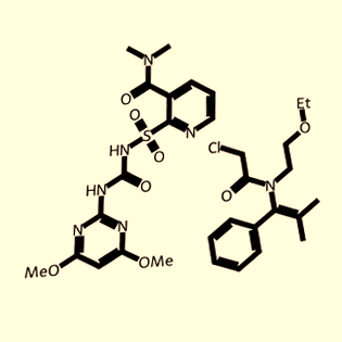 CCOCCN(C(=O)CCl)C(=C(C)C)c1ccccc1.COc1cc(OC)nc(NC(=O)NS(=O)(=O)c2ncccc2C(=O)N(C)C)n1